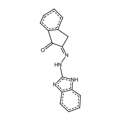 O=C1/C(=N\Nc2nc3ccccc3[nH]2)Cc2ccccc21